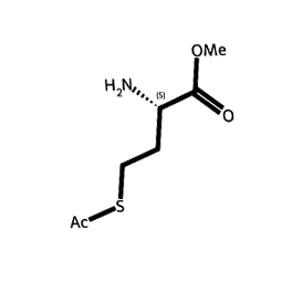 COC(=O)[C@@H](N)CCSC(C)=O